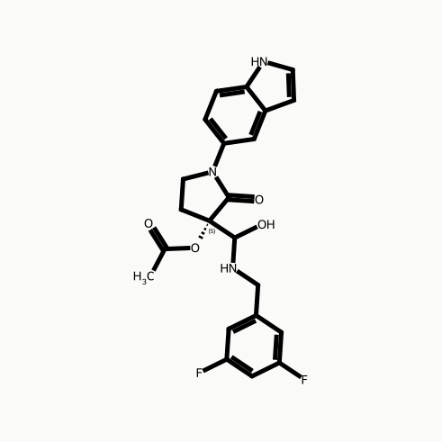 CC(=O)O[C@]1(C(O)NCc2cc(F)cc(F)c2)CCN(c2ccc3[nH]ccc3c2)C1=O